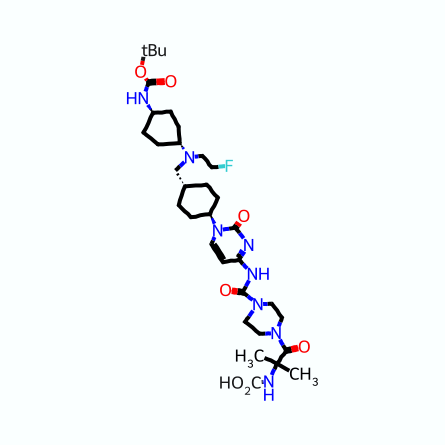 CC(C)(C)OC(=O)N[C@H]1CC[C@H](N(CCF)C[C@H]2CC[C@H](n3ccc(NC(=O)N4CCN(C(=O)C(C)(C)NC(=O)O)CC4)nc3=O)CC2)CC1